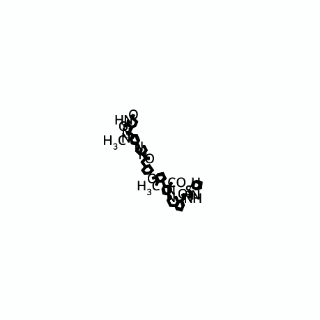 Cc1c(OC2CCC(CC(=O)N3CCN(c4ccc5c(C6CCC(=O)NC6=O)nn(C)c5c4)CC3)CC2)cccc1-c1ccc(N2CCc3cccc(C(=O)Nc4nc5ccccc5s4)c3C2)nc1C(=O)O